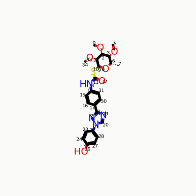 CO[C@@H]1[C@@H](OC)[C@H](C)O[C@@H](SC(=O)Nc2ccc(-c3ncn(-c4ccc(O)cc4)n3)cc2)[C@@H]1OC